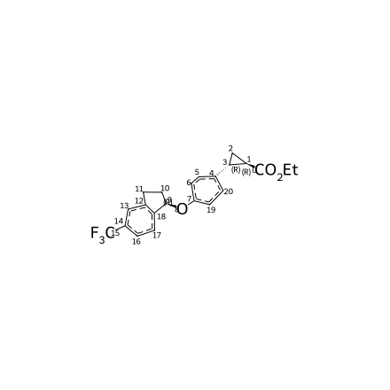 CCOC(=O)[C@@H]1C[C@H]1c1ccc(O[C@@H]2CCc3cc(C(F)(F)F)ccc32)cc1